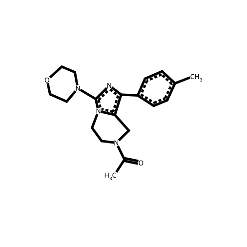 CC(=O)N1CCn2c(N3CCOCC3)nc(-c3ccc(C)cc3)c2C1